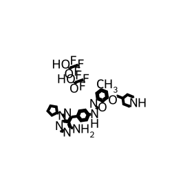 Cc1cc(OCC2CCNCC2)c2oc(Nc3ccc(-c4nn(C5CCCC5)c5ncnc(N)c45)cc3)nc2c1.O=C(O)C(F)(F)F.O=C(O)C(F)(F)F